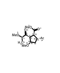 COC(=O)[C@@H]1[C@H](C(=O)N(C)OC)[C@H](OC)C[C@H]1C(C)=O